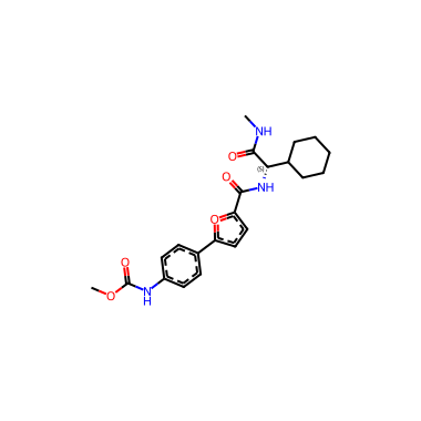 CNC(=O)[C@@H](NC(=O)c1ccc(-c2ccc(NC(=O)OC)cc2)o1)C1CCCCC1